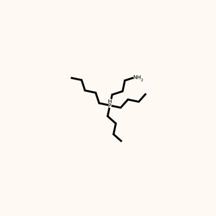 CCCCC[PH](CCCC)(CCCC)CCCN